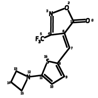 O=C1ON=C(C(F)(F)F)C1=Cc1ccc(N2CCC2)s1